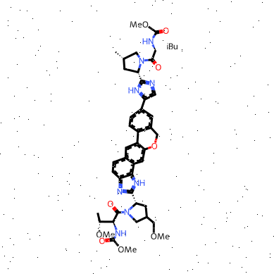 CC[C@H](C)[C@H](NC(=O)OC)C(=O)N1C[C@@H](C)C[C@H]1c1ncc(-c2ccc3c(c2)COc2cc4c(ccc5nc([C@@H]6CC(COC)CN6C(=O)[C@@H](NC(=O)OC)[C@@H](C)OC)[nH]c54)cc2-3)[nH]1